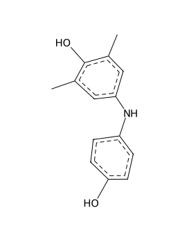 Cc1cc(Nc2ccc(O)cc2)cc(C)c1O